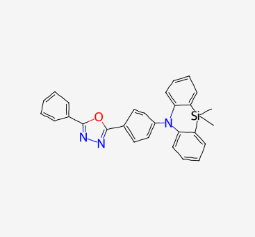 C[Si]1(C)c2ccccc2N(c2ccc(-c3nnc(-c4ccccc4)o3)cc2)c2ccccc21